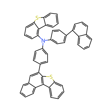 c1ccc2c(-c3ccc(N(c4ccc(-c5cc6ccccc6c6c5sc5ccccc56)cc4)c4cccc5sc6ccccc6c45)cc3)cccc2c1